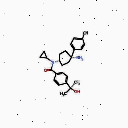 C[C@](O)(c1ccc(C(=O)N(C2CC2)[C@H]2CC[C@](N)(c3ccc(C#N)cc3)CC2)cc1)C(F)(F)F